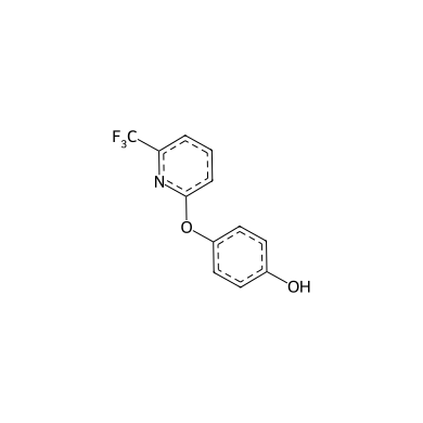 Oc1ccc(Oc2cccc(C(F)(F)F)n2)cc1